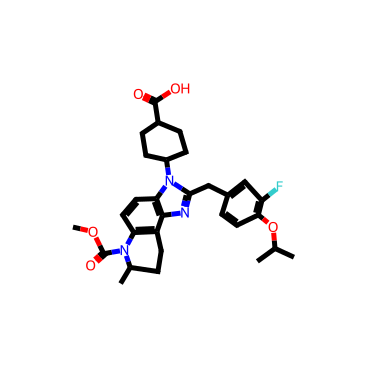 COC(=O)N1c2ccc3c(nc(Cc4ccc(OC(C)C)c(F)c4)n3C3CCC(C(=O)O)CC3)c2CCC1C